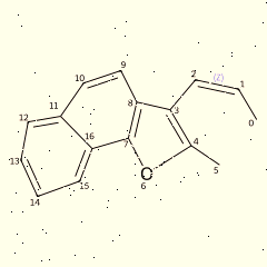 C/C=C\c1c(C)oc2c1ccc1ccccc12